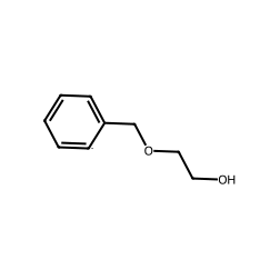 OCCOCc1[c]cccc1